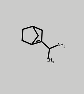 CC(N)C1=C2CCC(C2)C1